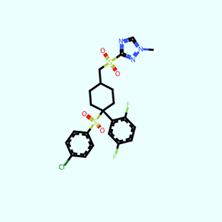 Cn1cnc(S(=O)(=O)CC2CCC(c3cc(F)ccc3F)(S(=O)(=O)c3ccc(Cl)cc3)CC2)n1